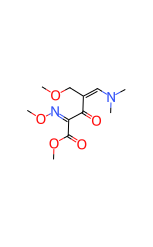 COCC(=CN(C)C)C(=O)C(=NOC)C(=O)OC